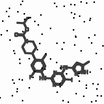 Cc1cc(Nc2nc(Nc3cc(C)c(C4CCN(C(=O)OC(C)C)CC4)cc3F)ncc2I)n[nH]1